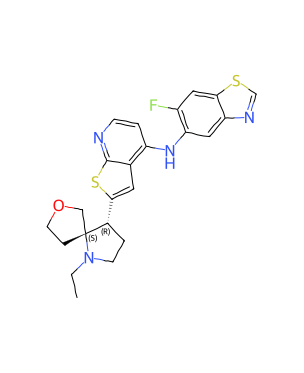 CCN1CC[C@@H](c2cc3c(Nc4cc5ncsc5cc4F)ccnc3s2)[C@]12CCOC2